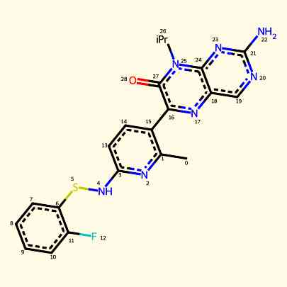 Cc1nc(NSc2ccccc2F)ccc1-c1nc2cnc(N)nc2n(C(C)C)c1=O